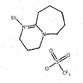 CC[N+]1=C2CCCCCN2CCC1.O=S(=O)([O-])C(F)(F)F